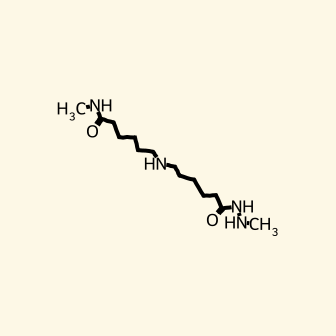 CNNC(=O)CCCCCNCCCCCC(=O)NC